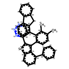 Cc1ccc(-c2c(-c3ccnnn3)[se]c3cccc(-c4ccccc4)c23)c(-c2cccc3c2Cc2ccccc2-3)c1C